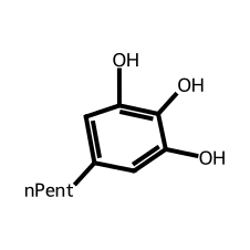 CCCCCc1cc(O)c(O)c(O)c1